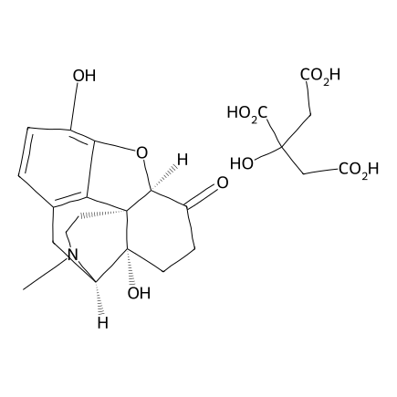 CN1CC[C@]23c4c5ccc(O)c4O[C@H]2C(=O)CC[C@@]3(O)[C@H]1C5.O=C(O)CC(O)(CC(=O)O)C(=O)O